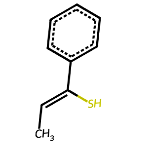 CC=C(S)c1ccccc1